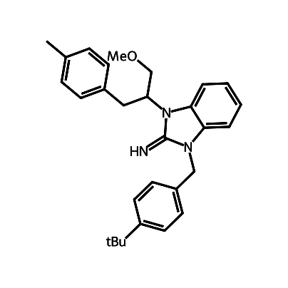 COCC(Cc1ccc(C)cc1)n1c(=N)n(Cc2ccc(C(C)(C)C)cc2)c2ccccc21